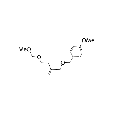 C=C(CCOCOC)COCc1ccc(OC)cc1